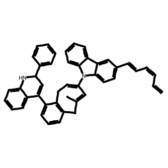 C=C/C=C\C=Cc1ccc2c(c1)c1ccccc1n2C1=C/Cc2c(cccc2C2=CC(c3ccccc3)Nc3ccccc32)C\C(C)=C\1